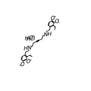 CCc1c(CCNCCC#CCCNCCc2ccc(OC)c(OC)c2CC)ccc(OC)c1OC.Cl.Cl